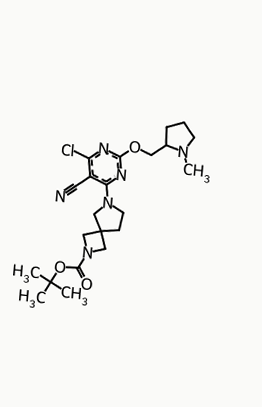 CN1CCCC1COc1nc(Cl)c(C#N)c(N2CCC3(CN(C(=O)OC(C)(C)C)C3)C2)n1